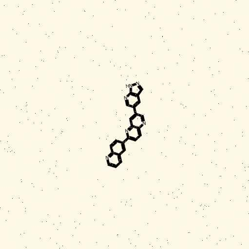 c1cnc2ccc(-c3ccc4ncc(-c5cnc6[nH]ncc6c5)cc4n3)cc2c1